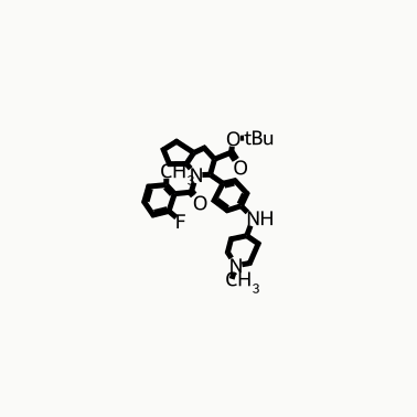 Cc1cccc(F)c1C(=O)N1C2CCCC2CC(C(=O)OC(C)(C)C)C1c1ccc(NC2CCN(C)CC2)cc1